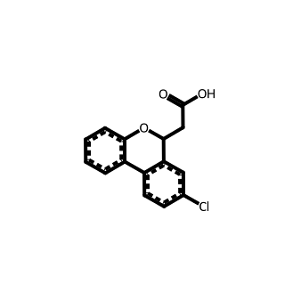 O=C(O)CC1Oc2ccccc2-c2ccc(Cl)cc21